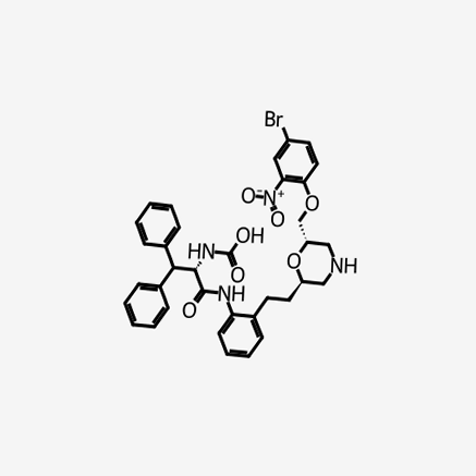 O=C(O)N[C@H](C(=O)Nc1ccccc1CC[C@@H]1CNC[C@@H](COc2ccc(Br)cc2[N+](=O)[O-])O1)C(c1ccccc1)c1ccccc1